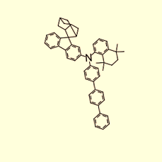 CC1(C)CCC(C)(C)c2c(N(c3ccc(-c4ccc(-c5ccccc5)cc4)cc3)c3ccc4c(c3)C3(c5ccccc5-4)C4CC5CC(C4)C3C5)cccc21